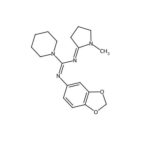 CN1CCCC1=NC(=Nc1ccc2c(c1)OCO2)N1CCCCC1